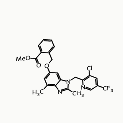 COC(=O)c1ccccc1COc1cc(C)c2nc(C)n(Cc3ncc(C(F)(F)F)cc3Cl)c2c1